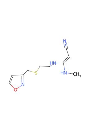 CN/C(=C/C#N)NCCSCc1ccon1